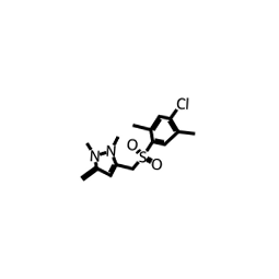 C=C1C=C(CS(=O)(=O)c2cc(C)c(Cl)cc2C)N(C)N1C